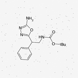 CC(C)(C)OC(=O)NCC(c1ccccc1)c1nnc(N)o1